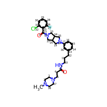 CN1CCN(CCC(=O)NCCCc2cccc(N3CC4CN(C(=O)c5c(F)cccc5Cl)CC4C3)c2)CC1